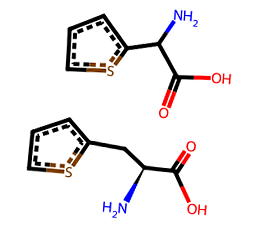 NC(C(=O)O)c1cccs1.N[C@@H](Cc1cccs1)C(=O)O